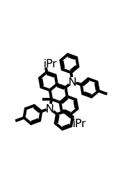 Cc1ccc(N(C2=C3C=C(C(C)C)C=CC3C(C)(N(C3=CCC(C)C=C3)c3ccccc3)c3cc(C(C)C)ccc32)c2ccccc2)cc1